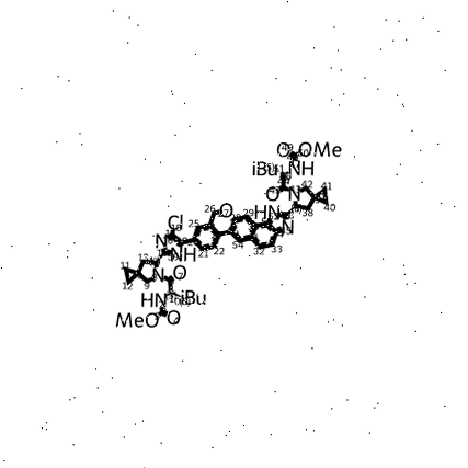 CC[C@H](C)[C@H](NC(=O)OC)C(=O)N1CC2(CC2)C[C@H]1c1nc(Cl)c(-c2ccc3c(c2)COc2cc4c(ccc5nc([C@@H]6CC7(CC7)CN6C(=O)[C@@H](NC(=O)OC)[C@@H](C)CC)[nH]c54)cc2-3)[nH]1